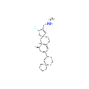 C=C1C=C(C2CCCC3(CCCC3)C2)C=C2CCC3(C=C(F)C(CNCCC)=C3)CC12C